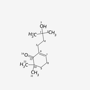 CC(C)(O)CCC1=CCCC(C)(C)C1=O